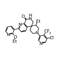 CCOc1ncccc1-c1ccc2c(n1)C(=O)NCC21CCN(c2cncc(Cl)c2C(F)(F)F)CC1CC